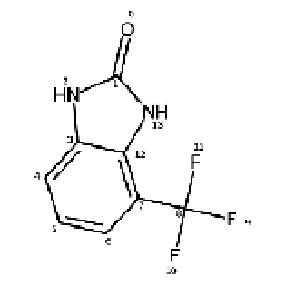 O=c1[nH]c2cccc(C(F)(F)F)c2[nH]1